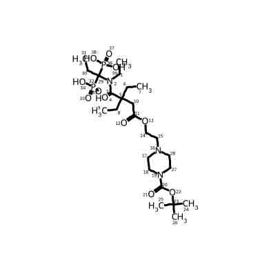 CCN(C(=O)C(CC)(CC)CC(=O)OCCN1CCN(C(=O)OC(C)(C)C)CC1)C(CC)(P(=O)(O)O)P(=O)(O)O